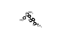 COc1cncc(-c2cccc3c(-c4ccc(C(N)=O)c(NC5CCC(O)CC5)c4)nccc23)c1